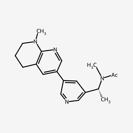 CC(=O)N(C)[C@H](C)c1cncc(-c2cnc3c(c2)CCCN3C)c1